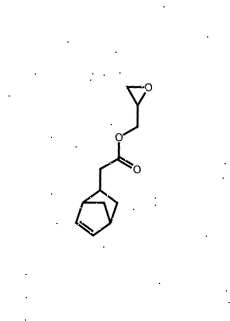 O=C(CC1CC2C=CC1C2)OCC1CO1